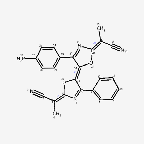 C/C(C#N)=c1\nc(-c2ccccc2)/c(=c2\o/c(=C(/C)C#N)nc2-c2ccc(P)cc2)o1